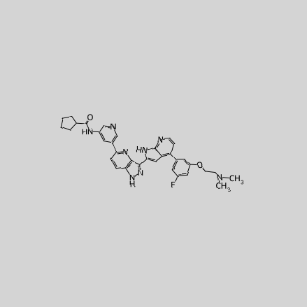 CN(C)CCOc1cc(F)cc(-c2ccnc3[nH]c(-c4n[nH]c5ccc(-c6cncc(NC(=O)C7CCCC7)c6)nc45)cc23)c1